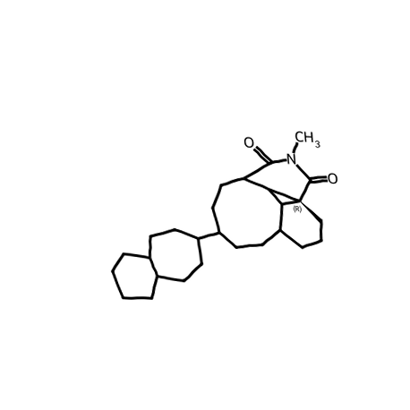 CN1C(=O)C2CCC(C3CCC4CCCCC4CC3)CCC3CCC[C@@]4(C1=O)C3C24